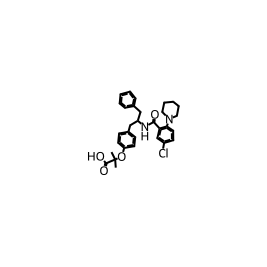 CC(C)(Oc1ccc(CC(Cc2ccccc2)NC(=O)c2cc(Cl)ccc2N2CCCCC2)cc1)C(=O)O